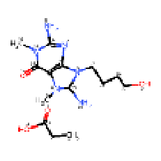 CCC(=O)O.CN1c2c(nc(N)n(C)c2=O)N(CCCCO)C1N